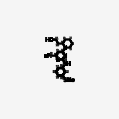 CCCc1cc(N2CCCCC2CCO)nc(Nc2cccc(SC)c2)n1